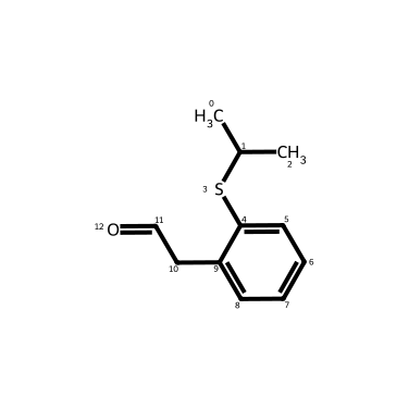 CC(C)Sc1ccccc1CC=O